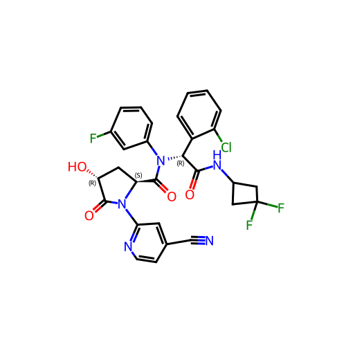 N#Cc1ccnc(N2C(=O)[C@H](O)C[C@H]2C(=O)N(c2cccc(F)c2)[C@@H](C(=O)NC2CC(F)(F)C2)c2ccccc2Cl)c1